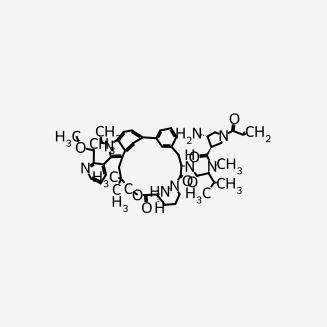 C=CC(=O)N1C[C@@H](N)[C@H](C(=O)N(C)C(C(=O)N[C@H]2Cc3cccc(c3)-c3ccc4c(c3)c(c(-c3cccnc3[C@H](C)OC)n4CC)CC(C)(C)COC(=O)[C@@H]3CCCN(N3)C2=O)C(C)C)C1